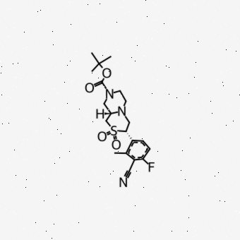 Cc1c([C@H]2CN3CCN(C(=O)OC(C)(C)C)C[C@H]3CS2(=O)=O)ccc(F)c1C#N